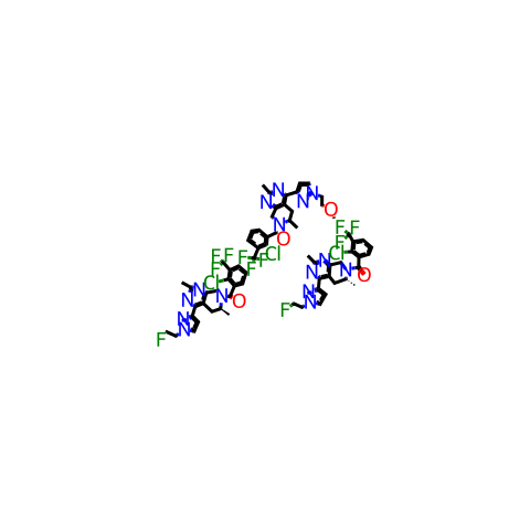 COCCn1ccc(-c2nc(C)nc3c2CC(C)N(C(=O)c2cccc(C(F)(F)F)c2Cl)C3)n1.Cc1nc2c(c(-c3ccn(CCF)n3)n1)C[C@@H](C)N(C(=O)c1cccc(C(F)(F)F)c1Cl)C2.Cc1nc2c(c(-c3ccn(CCF)n3)n1)C[C@H](C)N(C(=O)c1cccc(C(F)(F)F)c1Cl)C2